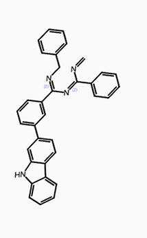 C=N/C(=N\C(=N/Cc1ccccc1)c1cccc(-c2ccc3c(c2)[nH]c2ccccc23)c1)c1ccccc1